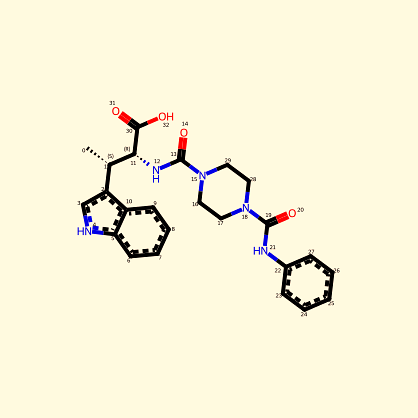 C[C@@H](c1c[nH]c2ccccc12)[C@@H](NC(=O)N1CCN(C(=O)Nc2ccccc2)CC1)C(=O)O